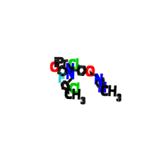 Cc1ccc(F)c(Cn2c(-c3ccc(OCCN4CCN(C)CC4)cc3Cl)nc3cc(OC(C)C)ccc32)c1Cl